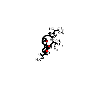 COC(=O)c1coc(-c2nc3oc2[C@]24c5ccccc5NC2Oc2ccc(cc24)CC[C@H](NC(=O)[C@@H](O)C(C)C)C(=O)NC3C(C)(C)C)n1